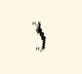 C/C=C/COc1ccc(C2CCC(C3CCC(CCCCCCCC)CC3)CC2)c(F)c1F